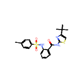 Cc1ccc(S(=O)(=O)Nc2ccccc2C(=O)Nc2nc(C(C)(C)C)cs2)cc1